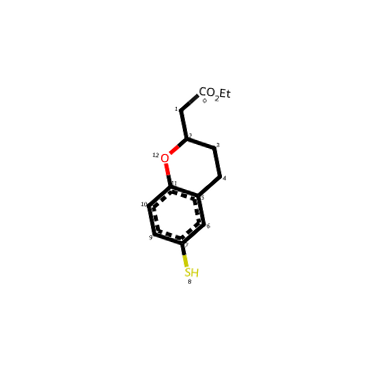 CCOC(=O)CC1CCc2cc(S)ccc2O1